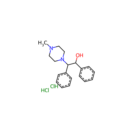 CN1CCN(C(c2ccccc2)C(O)c2ccccc2)CC1.Cl.Cl